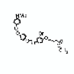 C=COC(=O)CCCCOc1ccc(OCOc2ccc(OCOc3ccc(NC)cc3)cc2)cc1Br